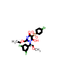 CCOCc1nc(=O)c(S(=O)(=O)c2ccc(Br)cc2)c(O)n1[C@@H](COC)c1cc(F)cc(F)c1